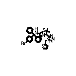 CC1(C)SC2C(NC(c3ccccc3)(c3ccccc3)c3ccc(Br)cc3)C(=O)N2C1c1nnnn1Cc1cccs1